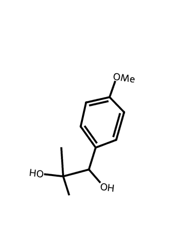 COc1ccc(C(O)C(C)(C)O)cc1